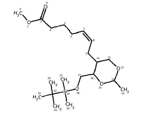 COC(=O)CCC/C=C\CC1COC(C)OC1CO[Si](C)(C)C(C)(C)C